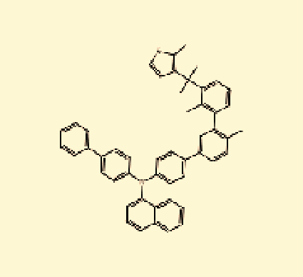 Cc1ccc(-c2ccc(N(c3ccc(-c4ccccc4)cc3)c3cccc4ccccc34)cc2)cc1-c1cccc(C(C)(C)c2ccsc2C)c1C